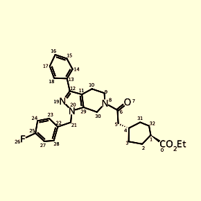 CCOC(=O)[C@H]1CC[C@H](CC(=O)N2CCc3c(-c4ccccc4)nn(Cc4ccc(F)cc4)c3C2)CC1